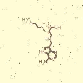 COCCSC[C@@H](CNCc1c[nH]c2c(N)ncnc12)[C@@H](C)O